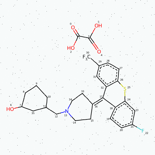 O=C(O)C(=O)O.OC1CCCC(CN2CCC(=C3c4ccc(F)cc4Sc4ccc(C(F)(F)F)cc43)CC2)C1